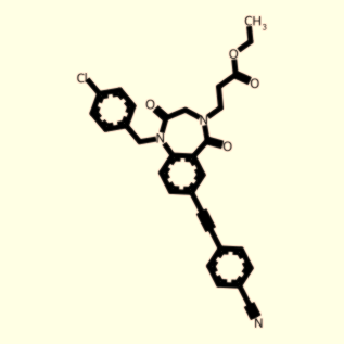 CCOC(=O)CCN1CC(=O)N(Cc2ccc(Cl)cc2)c2ccc(C#Cc3ccc(C#N)cc3)cc2C1=O